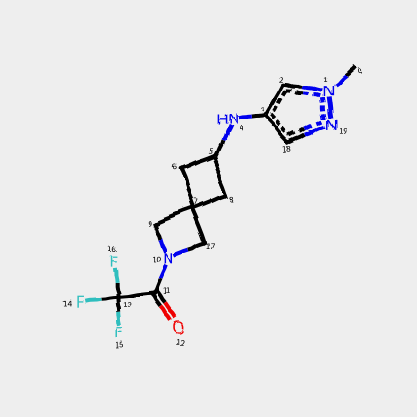 Cn1cc(NC2CC3(C2)CN(C(=O)C(F)(F)F)C3)cn1